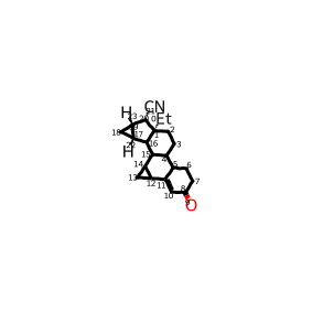 CC[C@]12CCC3C4CCC(=O)C=C4C4CC4C3C1[C@@H]1C[C@@H]1[C@@H]2C#N